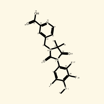 CSc1c(F)cc(N2C(=O)N(Cc3ccnc(C(=O)O)c3)C(C)(C)C2=O)c(F)c1F